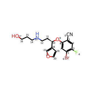 N#Cc1cc(F)c(Br)cc1O[C@H](CCNCCCO)c1ccoc1